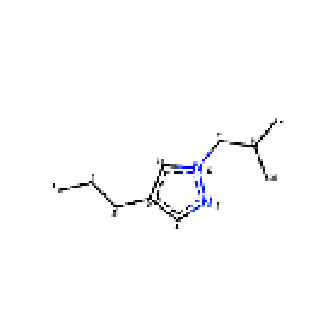 CCCc1cnn(CC(C)C)c1